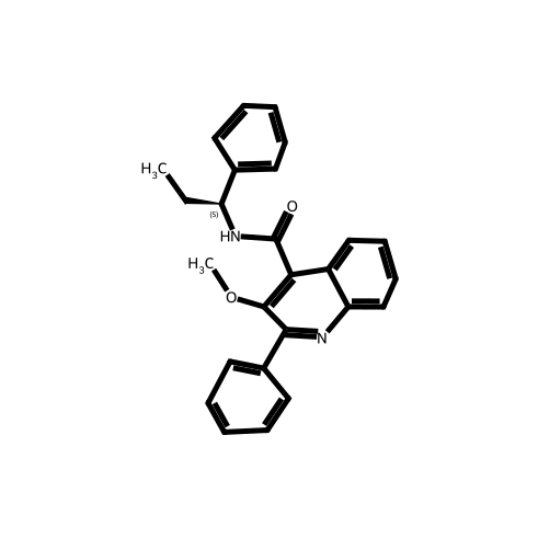 CC[C@H](NC(=O)c1c(OC)c(-c2ccccc2)nc2ccccc12)c1ccccc1